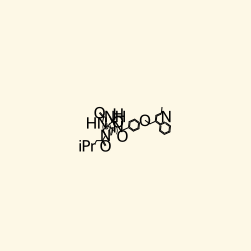 Cc1cc(COc2ccc(C(=O)N[C@@H]3CN(C(=O)CC(C)C)C[C@]34NC(=O)NC4=O)cc2)c2ccccc2n1